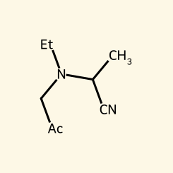 CCN(CC(C)=O)C(C)C#N